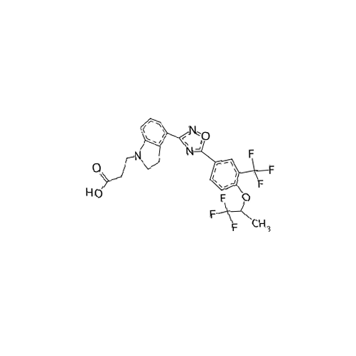 CC(Oc1ccc(-c2nc(-c3cccc4c3CCN4CCC(=O)O)no2)cc1C(F)(F)F)C(F)(F)F